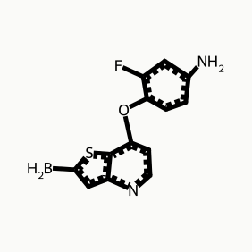 Bc1cc2nccc(Oc3ccc(N)cc3F)c2s1